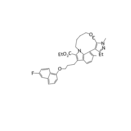 CCOC(=O)c1c(CCCOc2cccc3cc(F)ccc23)c2ccc(C)c3c2n1CCCCOCc1c-3c(CC)nn1C